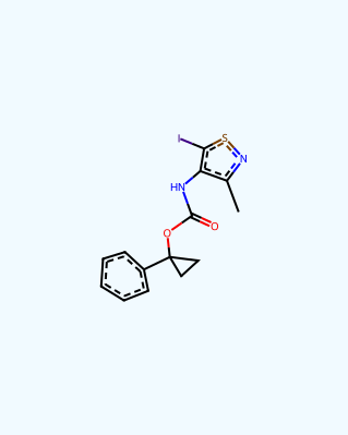 Cc1nsc(I)c1NC(=O)OC1(c2ccccc2)CC1